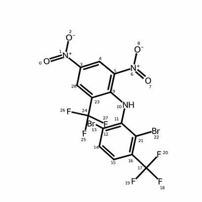 O=[N+]([O-])c1cc([N+](=O)[O-])c(Nc2c(Br)ccc(C(F)(F)F)c2Br)c(C(F)(F)F)c1